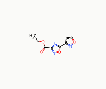 CCOC(=O)c1noc(-c2ccon2)n1